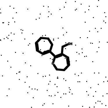 OCC1=C(C2=CC=CCCC2)OCCC=C1